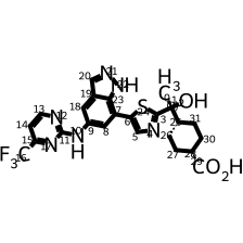 C[C@](O)(c1ncc(-c2cc(Nc3nccc(C(F)(F)F)n3)cc3cn[nH]c23)s1)[C@H]1CC[C@@H](C(=O)O)CC1